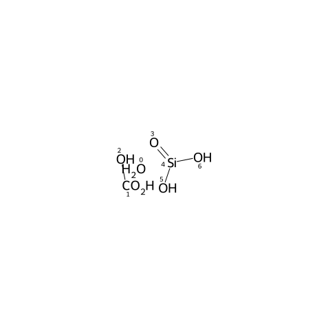 O.O=C(O)O.O=[Si](O)O